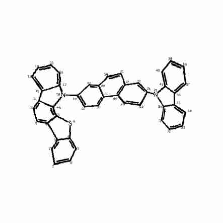 c1ccc2c(c1)sc1c2ccc2c3ccccc3n(-c3ccc4c(ccc5cc(-n6c7ccccc7c7ccccc76)ccc54)c3)c21